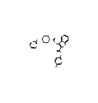 O=C(Nc1ccc(Cl)cn1)c1oc2ccccc2c1NC(=O)[C@H]1CC[C@H](Nc2ncccn2)CC1